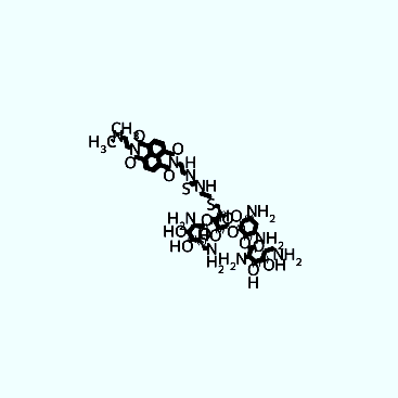 CN(C)CCN1C(=O)c2ccc3c4c(ccc(c24)C1=O)C(=O)N(CCNC(=S)NCCSC[C@H]1OC(O[C@@H]2C(O)[C@H](N)CC(N)[C@H]2O[C@H]2OC(CN)[C@@H](O)[C@H](O)C2N)[C@@H](O)[C@H]1O[C@H]1O[C@@H](CN)[C@@H](O)C(O)C1N)C3=O